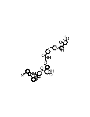 N#Cc1cccc2[nH]c(-c3ccccc3OC3(C(F)(F)F)CCN(C(=O)[C@H]4CCC(=O)Nc5ccc(OCCNC(=O)C6CCN(CC7CCN(c8cncc(C9CCC(=O)NC9=O)c8)CC7)CC6)cc54)CC3)cc12